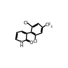 O=c1[nH]cccc1-c1c(Cl)cc(C(F)(F)F)cc1Cl